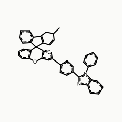 CC1C=CC2=C(C1)c1ccccc1C21c2ccccc2Oc2cc(-c3ccc(-c4nc5ccccc5n4-c4ccccc4)cc3)ccc21